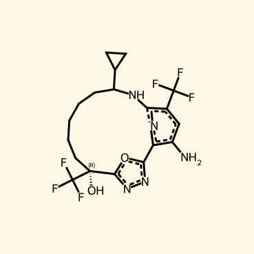 Nc1cc(C(F)(F)F)c2nc1-c1nnc(o1)[C@@](O)(C(F)(F)F)CCCCCC(C1CC1)N2